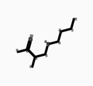 CCCCSCC(C)C(C)=O